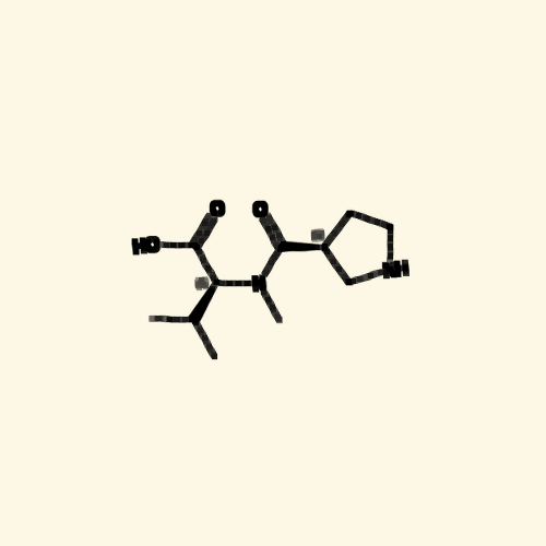 CC(C)[C@@H](C(=O)O)N(C)C(=O)[C@H]1CCNC1